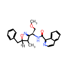 [2H]C1(Cc2ccccc2)ON=C([C@@H](COC)NC(=O)c2nccc3ccccc23)C1C